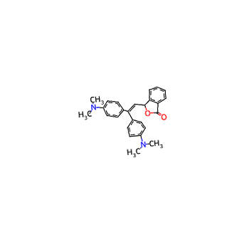 CN(C)c1ccc(C(=CC2OC(=O)c3ccccc32)c2ccc(N(C)C)cc2)cc1